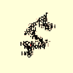 CC[C@@]1(O)C(=O)OCc2c1cc1n(c2=O)Cc2c-1nc1cc(F)c(C)c3c1c2[C@@H](NC(=O)OCc1ccc(NC(=O)[C@H](C)NC(=O)[C@@H](NC(=O)OCCN(CCOC(=O)N[C@H](C(=O)N[C@@H](C)C(=O)Nc2ccc(COC(=O)N[C@H]4CCc5c(C)c(F)cc6nc7c(c4c56)Cn4c-7cc5c(c4=O)COC(=O)[C@@]5(C)O)cc2)C(C)C)[SH](=O)=O)C(C)C)cc1)CC3